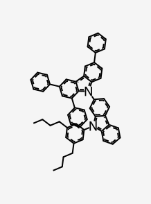 CCCCc1cc(CCCC)cc(-n2c3ccccc3c3ccc(-n4c5ccc(-c6ccccc6)cc5c5cc(-c6ccccc6)cc(-c6ccccc6)c54)cc32)c1